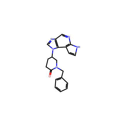 O=C1CCC(n2cnc3cnc4[nH]ccc4c32)CN1Cc1ccccc1